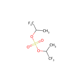 CC(OS(=O)(=O)OC(C)C(F)(F)F)C(F)(F)F